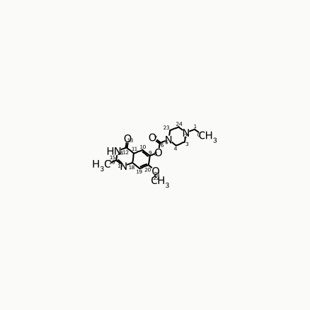 CCN1CCN(C(=O)OC2=CC3C(=O)NC(C)=NC3C=C2OC)CC1